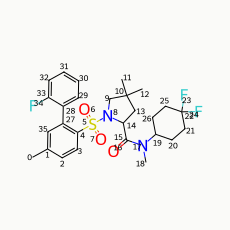 Cc1ccc(S(=O)(=O)N2CC(C)(C)CC2C(=O)N(C)C2CCC(F)(F)CC2)c(-c2ccccc2F)c1